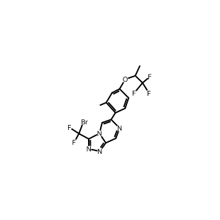 Cc1cc(OC(C)C(F)(F)F)ccc1-c1cn2c(C(F)(F)Br)nnc2cn1